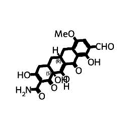 COc1cc(C=O)c(O)c2c1C[C@H]1CC3CC(O)=C(C(N)=O)C(=O)[C@@]3(O)C(O)=C1C2=O